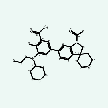 CCCN(c1cc(-c2ccc3c(c2)N(C(C)=O)CC32CCOCC2)cc(C(=O)O)c1C)C1CCOCC1